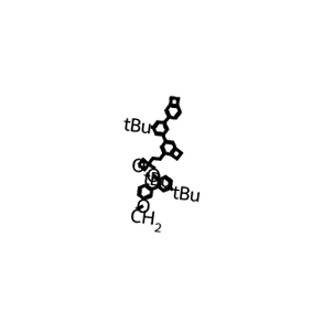 C=COc1ccc(C(C)(C)C)c(-c2cc(C(C)(C)C)ccc2OCC2(CCc3cc(-c4cc(-c5ccc6c(c5)CC6)cc(C(C)(C)C)c4)cc4c3CC4)COC2)c1